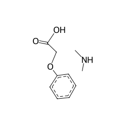 CNC.O=C(O)COc1ccccc1